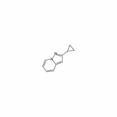 c1ccn2nc(C3CC3)cc2c1